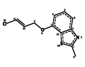 Cc1nc2cccc(OC/C=C/Cl)c2s1